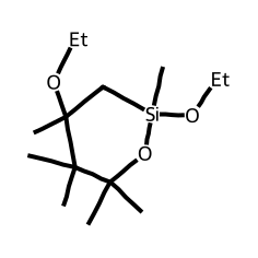 CCOC1(C)C[Si](C)(OCC)OC(C)(C)C1(C)C